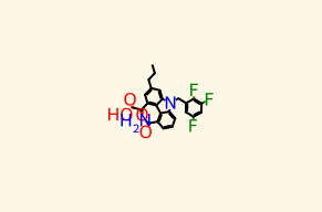 CCCc1cc(C(=O)C(=O)O)c2c3c(C(N)=O)cccc3n(Cc3cc(F)cc(F)c3F)c2c1